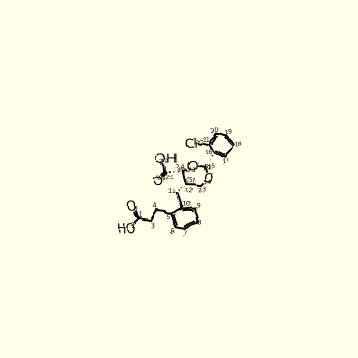 O=C(O)CCc1ccccc1C[C@H]1CO[C@@H](c2ccccc2Cl)O[C@H]1C(=O)O